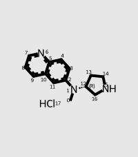 CN(c1ccc2ncccc2c1)[C@@H]1CCNC1.Cl